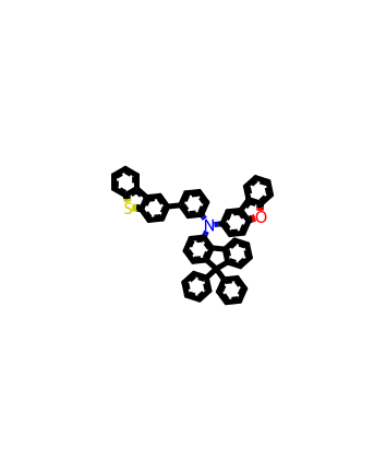 c1ccc(C2(c3ccccc3)c3ccccc3-c3c(N(c4cccc(-c5ccc6sc7ccccc7c6c5)c4)c4ccc5oc6ccccc6c5c4)cccc32)cc1